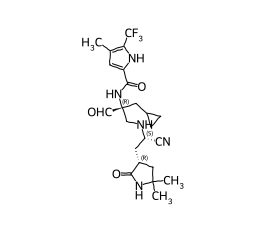 Cc1cc(C(=O)N[C@@](C=O)(CN[C@H](C#N)C[C@@H]2CC(C)(C)NC2=O)CC2CC2)[nH]c1C(F)(F)F